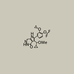 COC(c1c(-c2ccc(OC(F)F)c(OC3CC3)c2)[nH]c2cn[nH]c(=O)c12)C1CC1